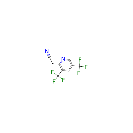 N#CCc1ncc(C(F)(F)F)cc1C(F)(F)F